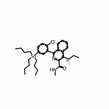 CCC[CH2][Sn]([CH2]CCC)([CH2]CCC)[c]1ccc(Cl)c(-c2nc(C(=O)NC)c([C@@H](C)CC)c3ccccc23)c1